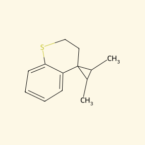 CC1C(C)C12CCSc1ccccc12